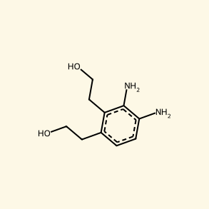 Nc1ccc(CCO)c(CCO)c1N